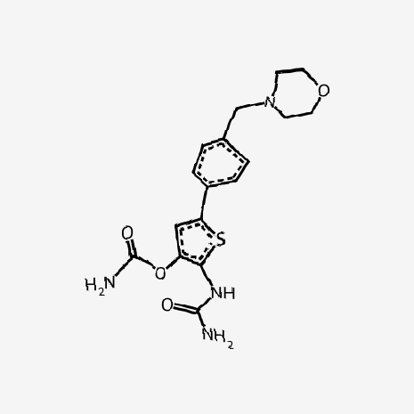 NC(=O)Nc1sc(-c2ccc(CN3CCOCC3)cc2)cc1OC(N)=O